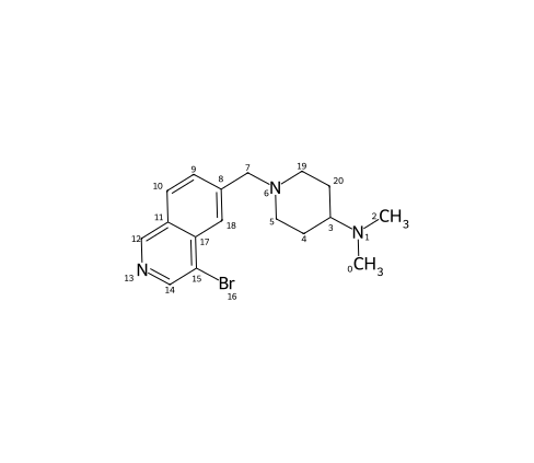 CN(C)C1CCN(Cc2ccc3cncc(Br)c3c2)CC1